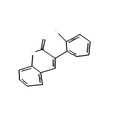 O=c1oc2ccccc2cc1-c1ccccc1F